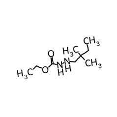 CCOC(=O)NNCC(C)(C)CC